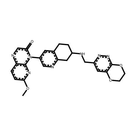 COc1ccc2ncc(=O)n(-c3cnc4c(c3)CCC(NCc3cc5c(nn3)OCCO5)C4)c2n1